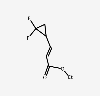 CCOC(=O)C=CC1CC1(F)F